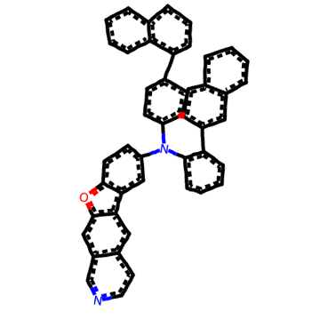 c1ccc(N(c2ccc(-c3cccc4ccccc34)cc2)c2ccc3oc4cc5cnccc5cc4c3c2)c(-c2ccc3ccccc3c2)c1